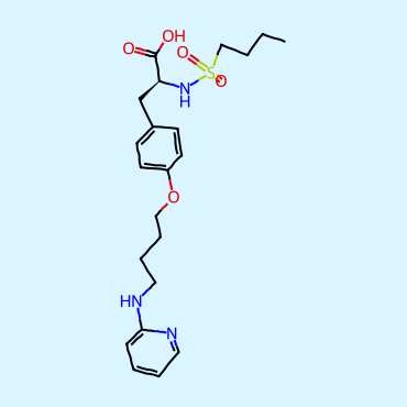 CCCCS(=O)(=O)N[C@@H](Cc1ccc(OCCCCNc2ccccn2)cc1)C(=O)O